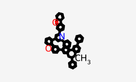 CC1c2ccc(-c3ccccc3)cc2-c2ccc(-c3ccc4oc5cccc(-c6cc(-c7ccccc7)nc(-c7ccc8c(c7)OC7C=CC=CC87)c6)c5c4c3)cc2CC1c1ccccc1